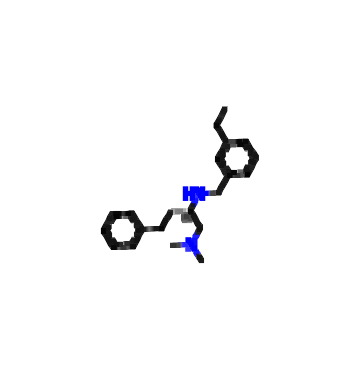 CCc1cccc(CN[C@@H](CCc2ccccc2)CN(C)C)c1